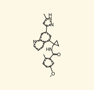 COc1ccc(C)c(C(=O)NC2(c3cc(-c4cc(C)[nH]n4)cc4ncccc34)CC2)c1